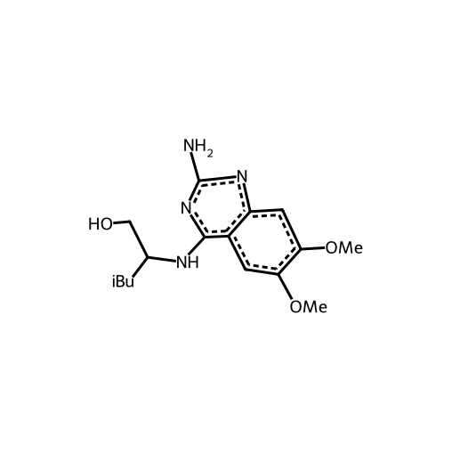 CCC(C)C(CO)Nc1nc(N)nc2cc(OC)c(OC)cc12